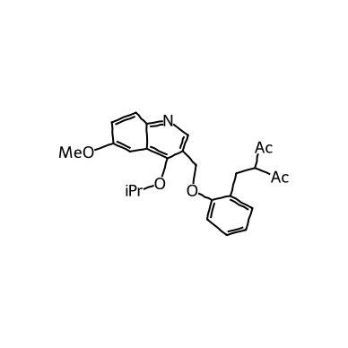 COc1ccc2ncc(COc3ccccc3CC(C(C)=O)C(C)=O)c(OC(C)C)c2c1